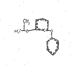 CC(C)Oc1cccc(Oc2[c]cccc2)c1